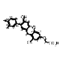 O=C(O)COc1cc(Cl)c(Cc2ccc(O)c(-c3ccc(F)c(F)c3)c2)c(Cl)c1